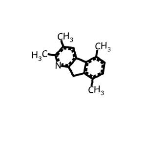 Cc1cc2c(nc1C)Cc1c(C)ccc(C)c1-2